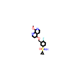 COc1nccc2c(OCc3cc(S(=N)(=O)C4CC4)ccc3F)ccnc12